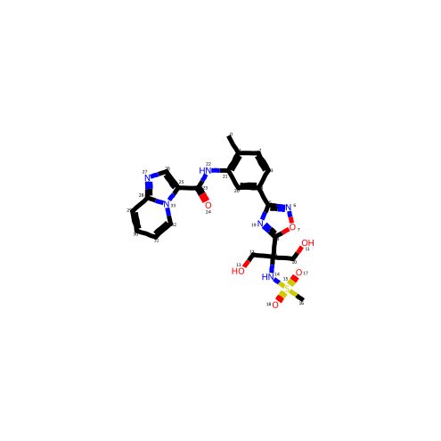 Cc1ccc(-c2noc(C(CO)(CO)NS(C)(=O)=O)n2)cc1NC(=O)c1cnc2ccccn12